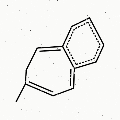 CC1=CC=c2ccccc2=CC1